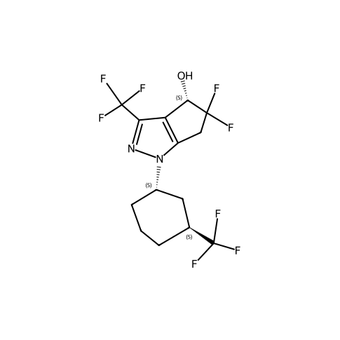 O[C@H]1c2c(C(F)(F)F)nn([C@H]3CCC[C@H](C(F)(F)F)C3)c2CC1(F)F